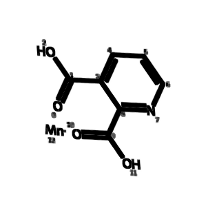 O=C(O)c1cccnc1C(=O)O.[Mn]